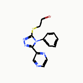 BrCCSc1nnc(-c2cnccn2)n1-c1ccccc1